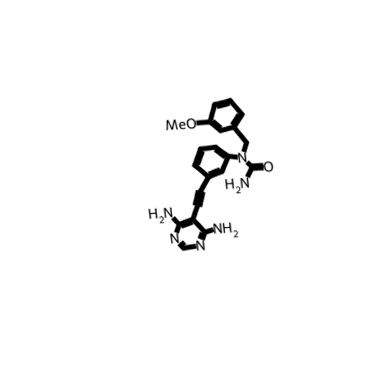 COc1cccc(CN(C(N)=O)c2cccc(C#Cc3c(N)ncnc3N)c2)c1